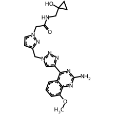 COc1cccc2c(-c3cn(Cc4ccn(CC(=O)NCC5(O)CC5)n4)nn3)nc(N)nc12